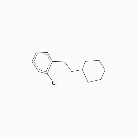 Clc1ccccc1CCC1CCCCC1